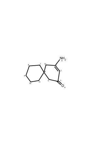 NC1=CC(=O)CC2(CCCCC2)C1